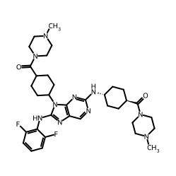 CN1CCN(C(=O)C2CCC(n3c(Nc4c(F)cccc4F)nc4cnc(N[C@H]5CC[C@H](C(=O)N6CCN(C)CC6)CC5)nc43)CC2)CC1